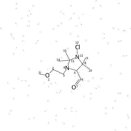 COCCN1C(C=O)C(C)(C)N(Cl)C1(C)C